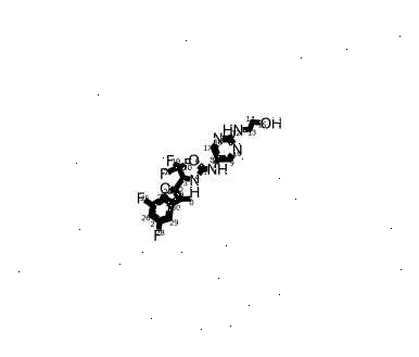 Cc1c(C(NC(=O)Nc2cnc(NCCO)nc2)C(F)(F)F)oc2c(F)cc(F)cc12